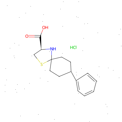 Cl.O=C(O)[C@@H]1CSC2(CCC(c3ccccc3)CC2)N1